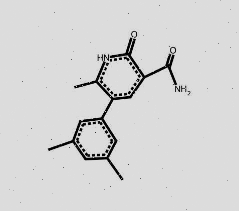 Cc1cc(C)cc(-c2cc(C(N)=O)c(=O)[nH]c2C)c1